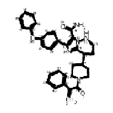 C=C(C(=O)N1CCC(C2CCNn3c2nc(-c2ccc(Oc4ccccc4)cc2)c3C(N)=O)CC1)c1ccccc1